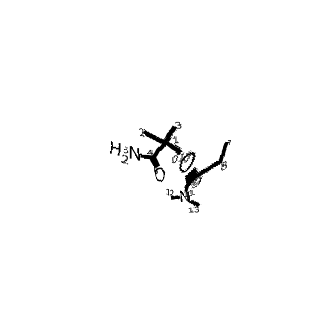 CC(C)(C)C(N)=O.CCC(=O)N(C)C